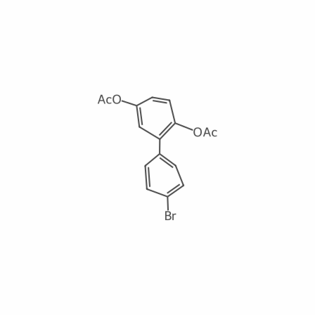 CC(=O)Oc1ccc(OC(C)=O)c(-c2ccc(Br)cc2)c1